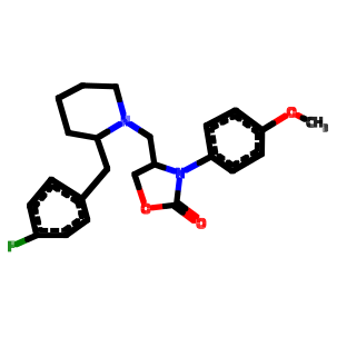 COc1ccc(N2C(=O)OCC2CN2CCCCC2Cc2ccc(F)cc2)cc1